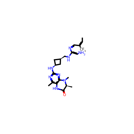 C\C=C(/C=N\C(=C/N)NC[C@H]1C[C@@H](Nc2nc(C)c3c(n2)N(C)[C@@H](C)C(=O)N3)C1)C(F)(F)F